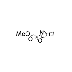 COC(=O)C[C@H]1COc2cc(Cl)cnc21